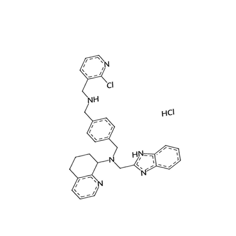 Cl.Clc1ncccc1CNCc1ccc(CN(Cc2nc3ccccc3[nH]2)C2CCCc3cccnc32)cc1